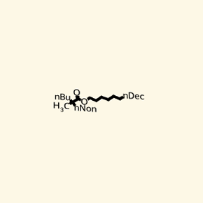 CCCCCCCCCCCCCCCCOC(=O)C(C)(CCCC)CCCCCCCCC